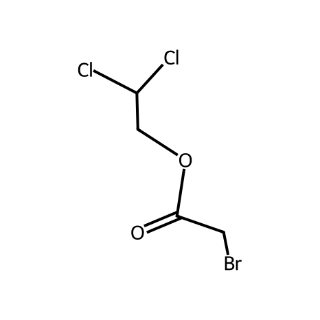 O=C(CBr)OCC(Cl)Cl